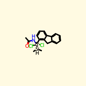 CC(=O)[NH][Zr]([Cl])([Cl])([c]1cccc2c1Cc1ccccc1-2)[SiH](C)C